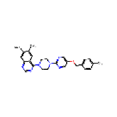 COc1cc2ncnc(N3CCN(c4ncc(OCc5ccc(C(F)(F)F)cc5)cn4)CC3)c2cc1OC